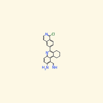 N=Cc1c(N)ccc2nc(-c3ccc4c(Cl)nccc4c3)c3c(c12)CCCC3